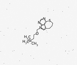 C[Si](C)(C)CCOCn1cc2c3c(ncnc31)SCCC2